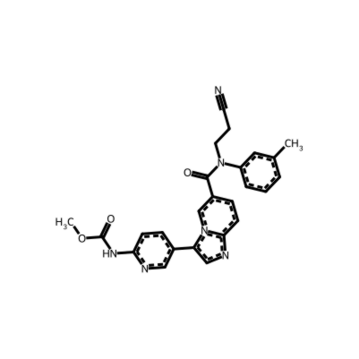 COC(=O)Nc1ccc(-c2cnc3ccc(C(=O)N(CCC#N)c4cccc(C)c4)cn23)cn1